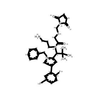 CC(C)(C)C(c1cc(-c2cc(F)ccc2F)cn1Cc1ccccc1)N(CCCN)C(=O)CSCN1C(=O)C=CC1=O